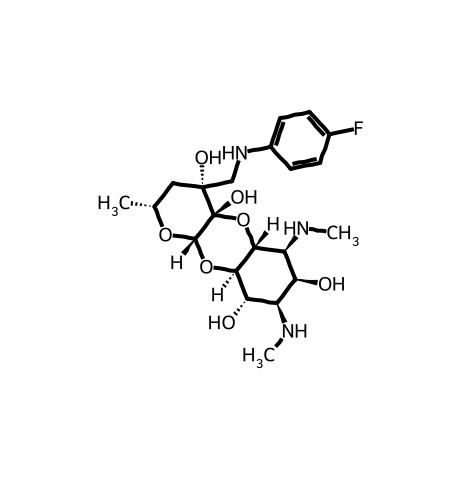 CN[C@@H]1[C@H](O)[C@H](NC)[C@H]2O[C@]3(O)[C@H](O[C@@H]2[C@H]1O)O[C@H](C)C[C@@]3(O)CNc1ccc(F)cc1